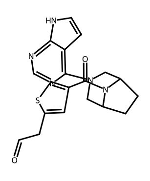 O=CCc1cc(C(=O)N2C3CCC2CN(c2ncnc4[nH]ccc24)C3)cs1